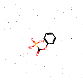 O=C(Oc1ccccc1)P(=O)(O)O